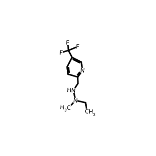 CCN(C)NCc1ccc(C(F)(F)F)cn1